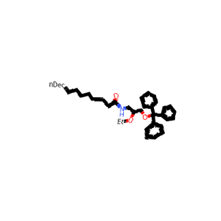 CCCCCCCCCCCCCCCCCC(=O)NCC(COC(c1ccccc1)(c1ccccc1)c1ccccc1)OCC